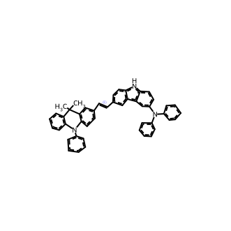 CC1(C)c2ccccc2N(c2ccccc2)c2ccc(/C=C/c3ccc4[nH]c5ccc(N(c6ccccc6)c6ccccc6)cc5c4c3)cc21